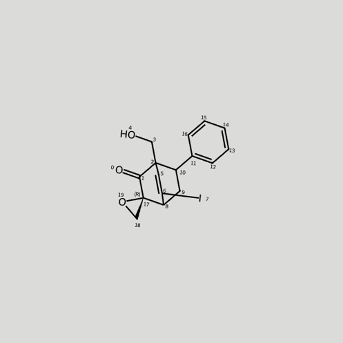 O=C1C2(CO)C=C(I)C(CC2c2ccccc2)[C@@]12CO2